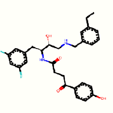 CCc1cccc(CNC[C@@H](O)[C@H](Cc2cc(F)cc(F)c2)NC(=O)CCC(=O)c2ccc(O)cc2)c1